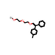 CCOCCOCCO/C=C(/c1ccccc1)c1ccc(C)cc1